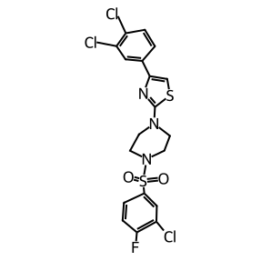 O=S(=O)(c1ccc(F)c(Cl)c1)N1CCN(c2nc(-c3ccc(Cl)c(Cl)c3)cs2)CC1